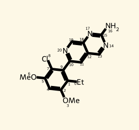 CCc1c(OC)cc(OC)c(Cl)c1-c1cc2cnc(N)nc2cn1